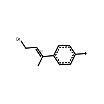 C/C(=C\CBr)c1ccc(F)cc1